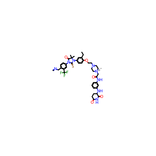 C=NCc1ccc(N2C(=O)C(C)(C)N(c3ccc(OCCN4CCN(CC(=O)Nc5cccc(NC6CCC(=O)NC6=O)c5)[C@@H](C)C4)c(CC)c3)C2=S)cc1C(F)(F)F